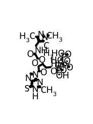 Cc1nc2c(ncn2C2OC(COP(=O)(O)OP(=O)(O)OP(=O)(O)O)C3OC(C(=O)NCc4c(C)nn(C)c4C)OC32)c(=S)[nH]1